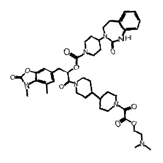 Cc1cc(C[C@@H](OC(=O)N2CCC(N3CCc4ccccc4NC3=O)CC2)C(=O)N2CCC(C3CCN(C(=O)C(=O)OCCN(C)C)CC3)CC2)cc2oc(=O)n(C)c12